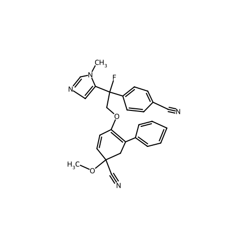 COC1(C#N)C=CC(OCC(F)(c2ccc(C#N)cc2)c2cncn2C)=C(c2ccccc2)C1